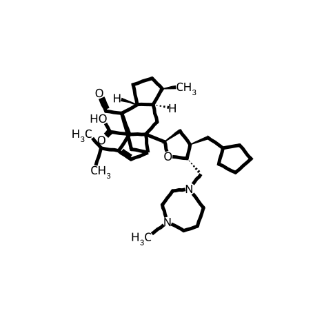 CC(C)C1=CC2CC3(C=O)[C@@H]4CC[C@@H](C)[C@H]4CC2([C@H]2C[C@@H](CC4CCCC4)[C@H](CN4CCCN(C)CC4)O2)C13C(=O)O